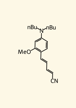 CCCCN(CCCC)c1ccc(/C=C/C=CC#N)c(OC)c1